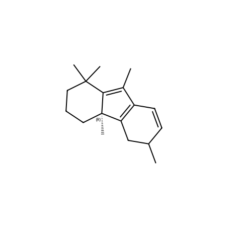 CC1=C2C(C)(C)CCC[C@]2(C)C2=C1C=CC(C)C2